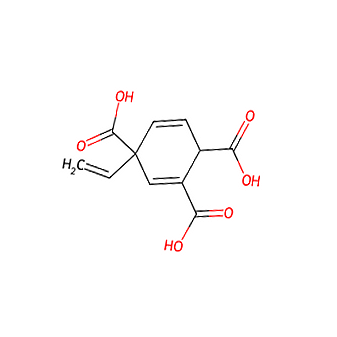 C=CC1(C(=O)O)C=CC(C(=O)O)C(C(=O)O)=C1